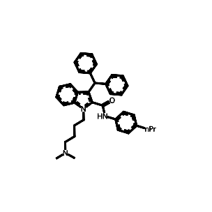 CCCc1ccc(NC(=O)c2c(C(c3ccccc3)c3ccccc3)c3ccccc3n2CCCCN(C)C)cc1